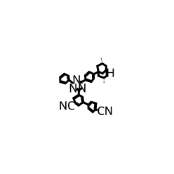 C[C@@H]1C[C@@H]2C[C@H](C)CC(c3ccc(-c4nc(-c5ccccc5)nc(-c5cc(C#N)cc(-c6ccc(C#N)cc6)c5)n4)cc3)(C1)C2